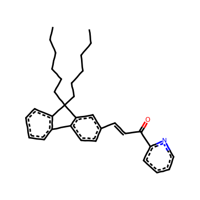 CCCCCCC1(CCCCCC)c2ccccc2-c2ccc(/C=C/C(=O)c3ccccn3)cc21